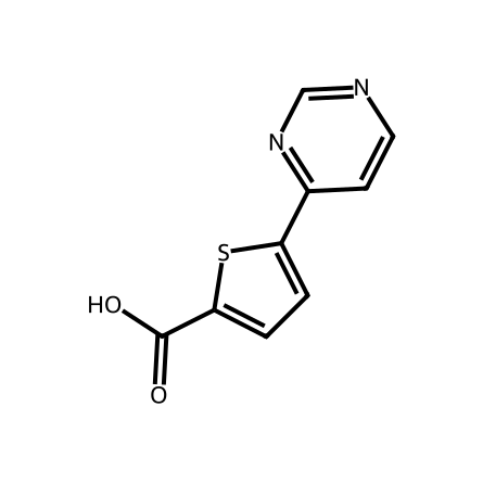 O=C(O)c1ccc(-c2ccncn2)s1